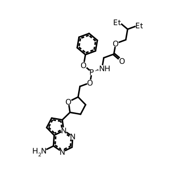 CCC(CC)COC(=O)CN[P@](OCC1CCC(c2ccc3c(N)ncnn23)O1)Oc1ccccc1